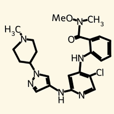 CON(C)C(=O)c1ccccc1Nc1cc(Nc2cnn(C3CCN(C)CC3)c2)ncc1Cl